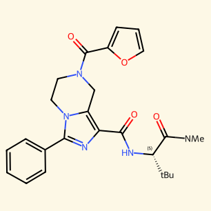 CNC(=O)[C@@H](NC(=O)c1nc(-c2ccccc2)n2c1CN(C(=O)c1ccco1)CC2)C(C)(C)C